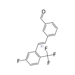 O=Cc1cccc(/C=C/c2cc(F)ccc2C(F)(F)F)c1